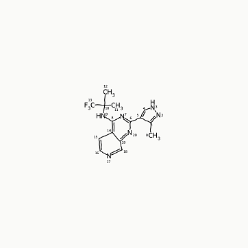 Cc1n[nH]cc1-c1nc(NC(C)(C)C(F)(F)F)c2ccncc2n1